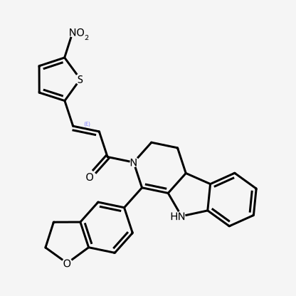 O=C(/C=C/c1ccc([N+](=O)[O-])s1)N1CCC2C(=C1c1ccc3c(c1)CCO3)Nc1ccccc12